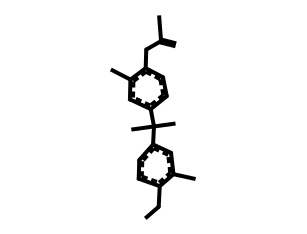 C=C(C)Cc1ccc(C(C)(C)c2ccc(CC)c(C)c2)cc1C